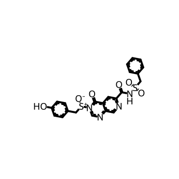 O=C(NS(=O)(=O)Cc1ccccc1)c1cc2c(=O)n([S+]([O-])Cc3ccc(O)cc3)cnc2cn1